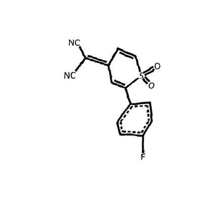 N#CC(C#N)=C1C=CS(=O)(=O)C(c2ccc(F)cc2)=C1